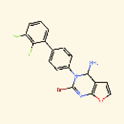 NC1c2ccoc2N=C(Br)N1c1ccc(-c2cccc(F)c2F)cc1